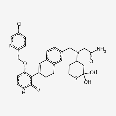 NC(=O)CN(Cc1ccc2c(c1)CCC(c1c(OCc3ccc(Cl)cn3)cc[nH]c1=O)=C2)C1CCSC(O)(O)C1